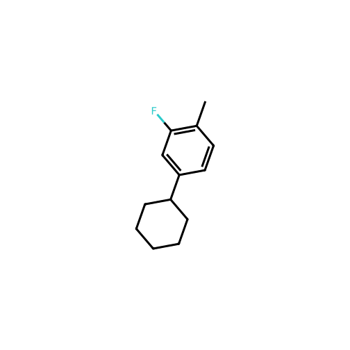 Cc1ccc(C2CCCCC2)cc1F